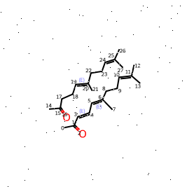 CC(=O)/C=C/C=C(\C)CCC=C(C)C.CC(=O)CC/C=C(\C)CCC=C(C)C